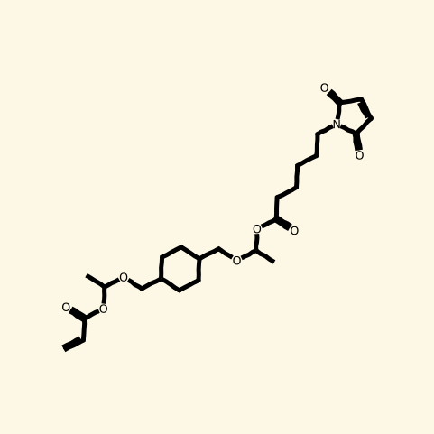 C=CC(=O)OC(C)OCC1CCC(COC(C)OC(=O)CCCCCN2C(=O)C=CC2=O)CC1